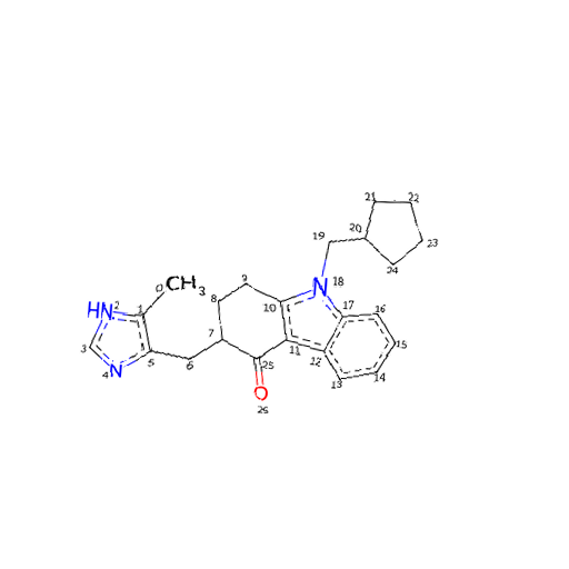 Cc1[nH]cnc1CC1CCc2c(c3ccccc3n2CC2CCCC2)C1=O